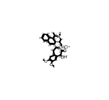 COc1cc2c(cc1OC)C(O)C(=O)N(CCCN(C)C(C)c1cccc3ccccc13)CC2.Cl